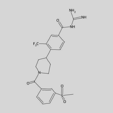 CS(=O)(=O)c1cccc(C(=O)N2CCC(c3ccc(C(=O)NC(=N)N)cc3C(F)(F)F)CC2)c1